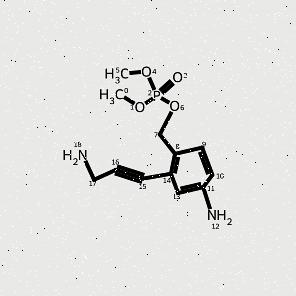 COP(=O)(OC)OCc1ccc(N)cc1C#CCN